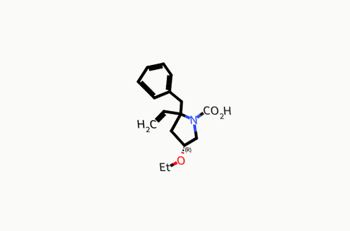 C=CC1(Cc2ccccc2)C[C@@H](OCC)CN1C(=O)O